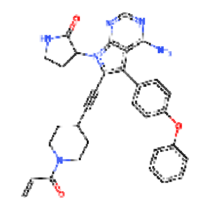 C=CC(=O)N1CCC(C#Cc2c(-c3ccc(Oc4ccccc4)cc3)c3c(N)ncnc3n2C2CCNC2=O)CC1